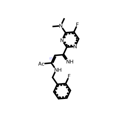 CC(=O)/C(=C/C(=N)c1ncc(F)c(N(C)C)n1)NCc1ccccc1F